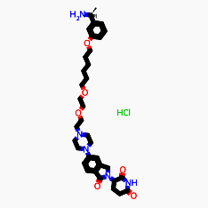 C[C@@H](N)c1cccc(OCCCCCCOCCOCCN2CCN(c3ccc4c(c3)CN(C3CCC(=O)NC3=O)C4=O)CC2)c1.Cl